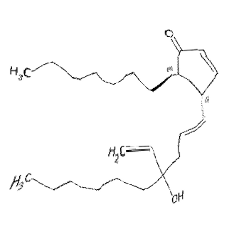 C=CC(O)(CC=C[C@H]1C=CC(=O)[C@@H]1CCCCCCC)CCCCCC